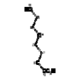 O=C(O)OCCOCCO